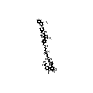 C[C@H](CC(=O)N1CCC(O)(Cn2cnc3c(-c4ccc(CNCCCNC(=O)CCCNC(=O)Cn5ccc(-c6cc(Cl)c(Cl)c7[nH]c8c(c67)CN(C(=O)CO)CC8)n5)cc4)n(C)nc3c2=O)CC1)c1ccccc1